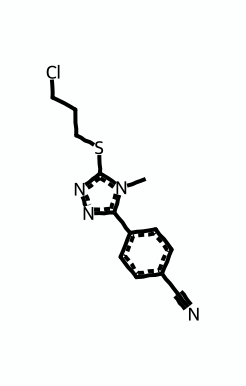 Cn1c(SCCCCl)nnc1-c1ccc(C#N)cc1